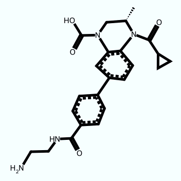 C[C@H]1CN(C(=O)O)c2cc(-c3ccc(C(=O)NCCN)cc3)ccc2N1C(=O)C1CC1